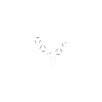 Cn1nccc1-c1ccc(N2C[C@@H](F)C[C@H]2C(=O)Nc2ccc(-c3ccccc3)cn2)cc1